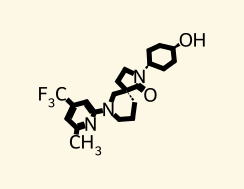 Cc1cc(C(F)(F)F)cc(N2CCC[C@@]3(CCN([C@H]4CC[C@H](O)CC4)C3=O)C2)n1